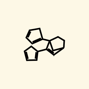 [C]1=C(C2=CC=CC2)C2(C3=CC=CC3)CCC1C2